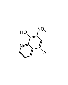 CC(=O)c1cc([N+](=O)[O-])c(O)c2ncccc12